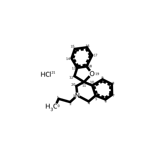 CCCN1Cc2ccccc2C2(Cc3ccccc3O2)C1.Cl